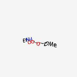 CCNC(=O)COCCCOCCCOC